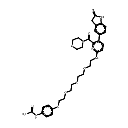 CC(=O)Nc1ccc(OCCOCCOCCOCCNc2ccc(-c3ccc4c(c3)CC(=O)N4)c(C(=O)N3CCOCC3)n2)cc1